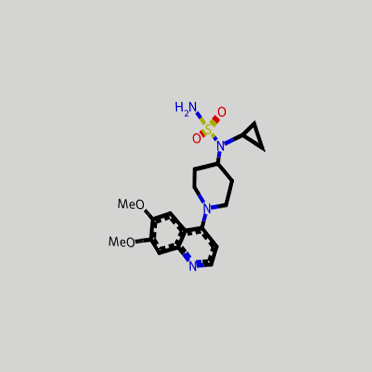 COc1cc2nccc(N3CCC(N(C4CC4)S(N)(=O)=O)CC3)c2cc1OC